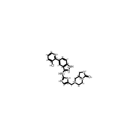 O=C1OCC2CN(Cc3cnc(Nc4n[nH]c5ccc(-c6ncccc6Cl)cc45)s3)CCN12